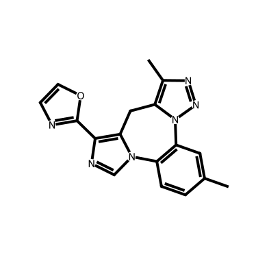 Cc1ccc2c(c1)-n1nnc(C)c1Cc1c(-c3ncco3)ncn1-2